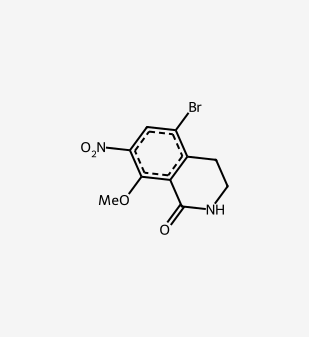 COc1c([N+](=O)[O-])cc(Br)c2c1C(=O)NCC2